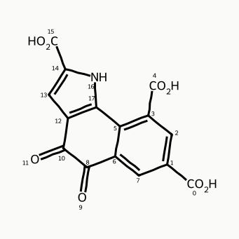 O=C(O)c1cc(C(=O)O)c2c(c1)C(=O)C(=O)c1cc(C(=O)O)[nH]c1-2